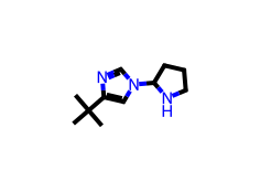 CC(C)(C)c1cn(C2CCCN2)cn1